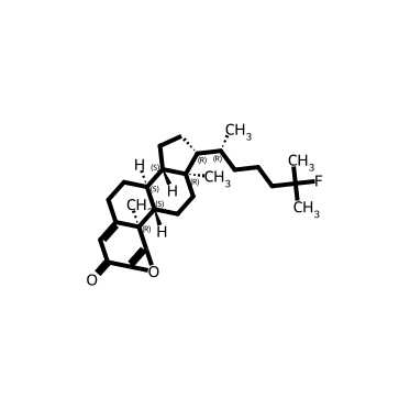 C[C@H](CCCC(C)(C)F)[C@H]1CC[C@H]2[C@@H]3CCC4=CC(=O)C5=C(O5)[C@]4(C)[C@H]3CC[C@]12C